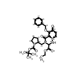 CCOC(=O)C1Nn2ccc(=O)c(OCc3ccccc3)c2C(=O)N1CC1CCCN1C(=O)OC(C)(C)C